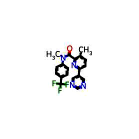 Cc1ccc(-c2cncnc2)nc1C(=O)N(C)c1ccc(C(F)(F)F)cc1